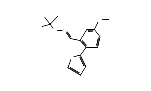 COc1ccc(-c2cccs2)c(/C=N/OC(C)(C)C)c1